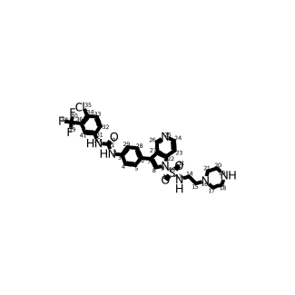 O=C(Nc1ccc(-c2cn(S(=O)(=O)NCCN3CCNCC3)c3ccncc23)cc1)Nc1ccc(Cl)c(C(F)(F)F)c1